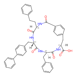 O=C1N[C@H](CCc2ccccc2)C(=O)N[C@@H](Cc2ccc(-c3ccccc3)cc2)C(=O)N[C@H](Cc2ccccc2)C(=O)N[C@H](C(=O)O)Cc2ccc1cc2